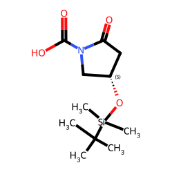 CC(C)(C)[Si](C)(C)O[C@H]1CC(=O)N(C(=O)O)C1